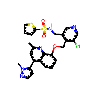 Cc1cc(-c2ccnn2C)c2cccc(OCc3c(Cl)cncc3CNS(=O)(=O)c3cccs3)c2n1